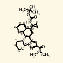 CN(C)C(=O)c1cc(-c2cc(C3(NC(=O)OC(C)(C)C)CC3)c3cccnc3c2)n(C2CCCCO2)n1